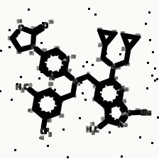 Cc1cc(CN(Cc2cc3c(C)nn(C(C)(C)C)c3nc2N(CC2CC2)CC2CC2)c2ncc(N3CCOC3=O)cn2)cc(C(F)(F)F)c1